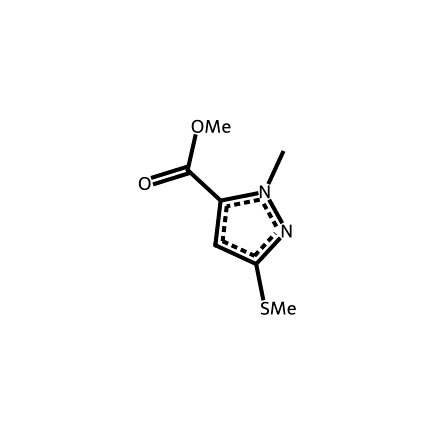 COC(=O)c1cc(SC)nn1C